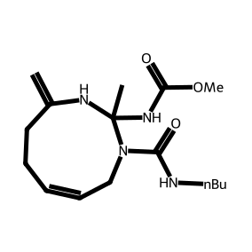 C=C1CC/C=C\CN(C(=O)NCCCC)C(C)(NC(=O)OC)N1